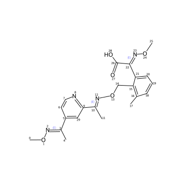 CO/N=C(\C)c1ccnc(/C(C)=N/OCc2c(C)cccc2/C(=N\OC)C(=O)O)c1